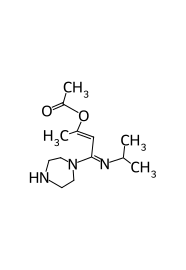 CC(=O)O/C(C)=C/C(=N\C(C)C)N1CCNCC1